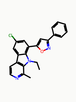 CCn1c2c(-c3cc(-c4ccccc4)no3)cc(Cl)cc2c2ccnc(C)c21